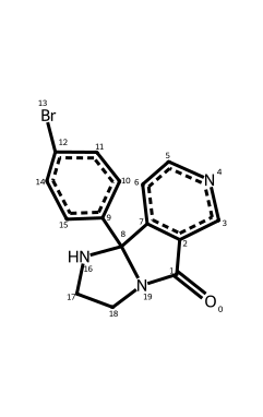 O=C1c2cnccc2C2(c3ccc(Br)cc3)NCCN12